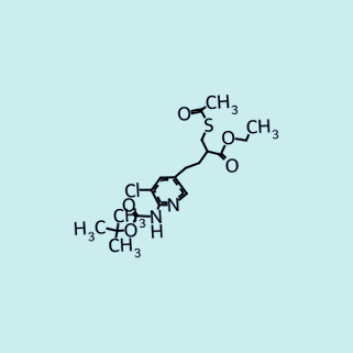 CCOC(=O)C(CCc1cnc(NC(=O)OC(C)(C)C)c(Cl)c1)CSC(C)=O